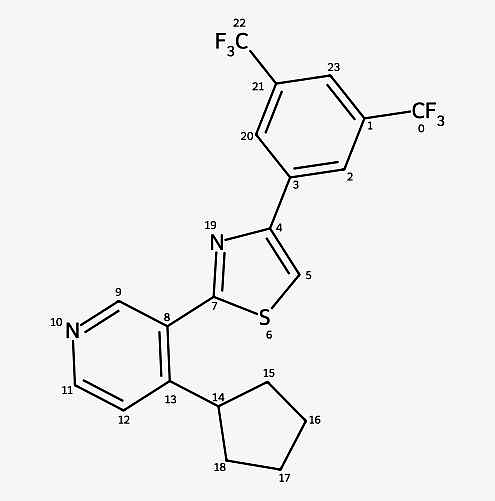 FC(F)(F)c1cc(-c2csc(-c3cnccc3C3CCCC3)n2)cc(C(F)(F)F)c1